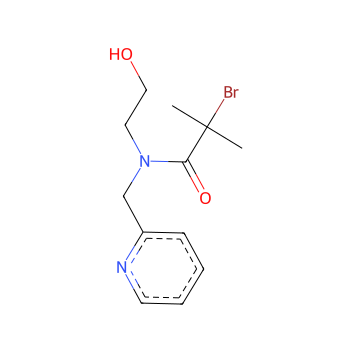 CC(C)(Br)C(=O)N(CCO)Cc1ccccn1